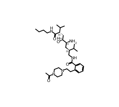 CCCCNC(=O)[C@@H](C[C@H](O)[C@@H](N)C[C@H](CNC(=O)c1ccccc1CCN1CCN(C(C)=O)CC1)C(C)C)C(C)C